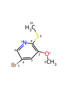 COc1cc(Br)cnc1SC